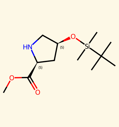 COC(=O)[C@@H]1C[C@H](O[Si](C)(C)C(C)(C)C)CN1